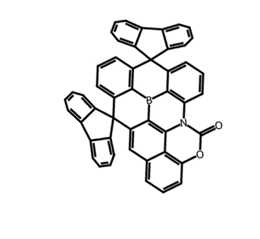 O=C1Oc2cccc3cc4c5c(c23)N1c1cccc2c1B5c1c(cccc1C41c3ccccc3-c3ccccc31)C21c2ccccc2-c2ccccc21